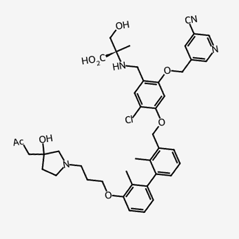 CC(=O)CC1(O)CCN(CCCOc2cccc(-c3cccc(COc4cc(OCc5cncc(C#N)c5)c(CN[C@@](C)(CO)C(=O)O)cc4Cl)c3C)c2C)C1